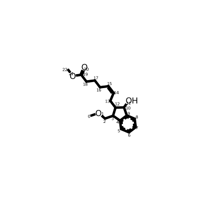 COCC1c2ccccc2C(O)C1C/C=C\CCCC(=O)OC